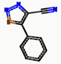 N#Cc1nnsc1-c1ccccc1